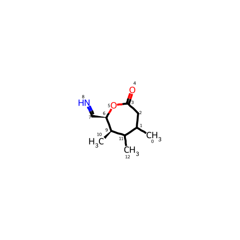 CC1CC(=O)O[C@H](C=N)[C@H](C)C1C